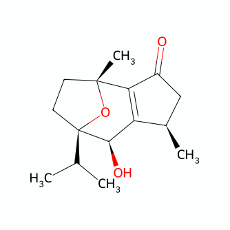 CC(C)[C@@]12CC[C@@](C)(O1)C1=C([C@H](C)CC1=O)[C@H]2O